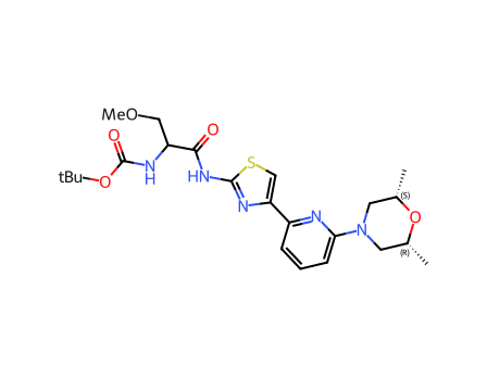 COCC(NC(=O)OC(C)(C)C)C(=O)Nc1nc(-c2cccc(N3C[C@@H](C)O[C@@H](C)C3)n2)cs1